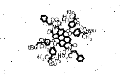 CC(C)(C)CC(C)(C)c1ccc(Oc2cc3c4c(cc(Oc5ccc(C(C)(C)CC(C)(C)C)cc5)c5c6c(Oc7ccc(C(C)(C)CC(C)(C)C)cc7)cc7c8c(cc(Oc9ccc(C(C)(C)CC(C)(C)C)cc9)c(c2c45)c86)C(=O)N(C(Cc2ccccc2)C(=O)O)C7=O)C(=O)N(C(Cc2ccccc2)C(=O)O)C3=O)cc1